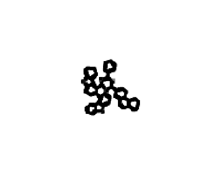 C1=Cc2ccccc2C2CC=C(c3nc(-c4ccccc4)nc(-c4c(-c5cccc6sc7ccccc7c56)ccc5oc6ccccc6c45)n3)C=C12